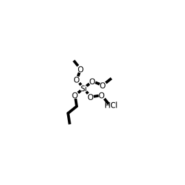 CCCO[Si](OOC)(OOC)OOC.Cl